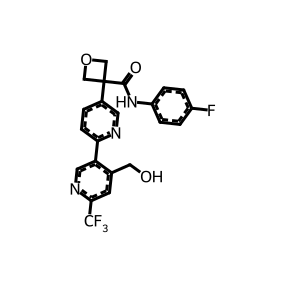 O=C(Nc1ccc(F)cc1)C1(c2ccc(-c3cnc(C(F)(F)F)cc3CO)nc2)COC1